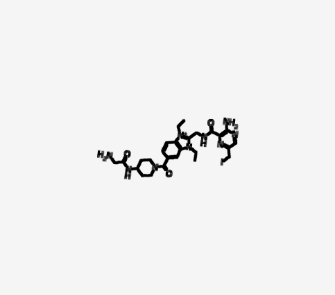 CCn1c(CNC(=O)c2nc(CI)cnc2N)[n+](CC)c2ccc(C(=O)N3CCC(NC(=O)CN)CC3)cc21